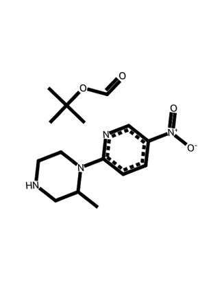 CC(C)(C)OC=O.CC1CNCCN1c1ccc([N+](=O)[O-])cn1